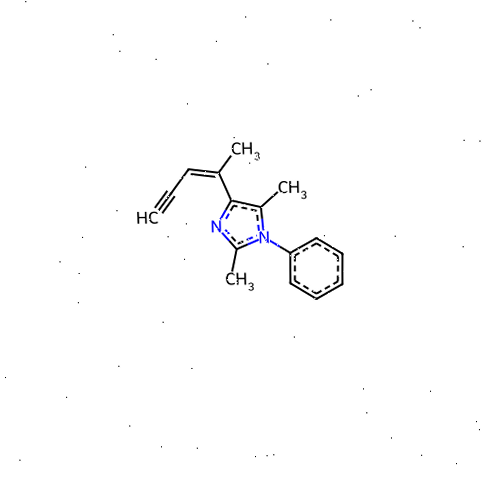 C#C/C=C(/C)c1nc(C)n(-c2ccccc2)c1C